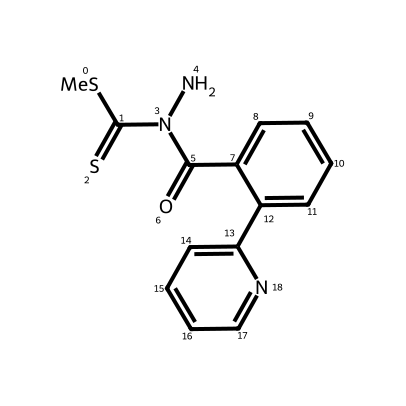 CSC(=S)N(N)C(=O)c1ccccc1-c1ccccn1